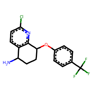 NC1CCC(Oc2ccc(C(F)(F)F)cc2)c2nc(Cl)ccc21